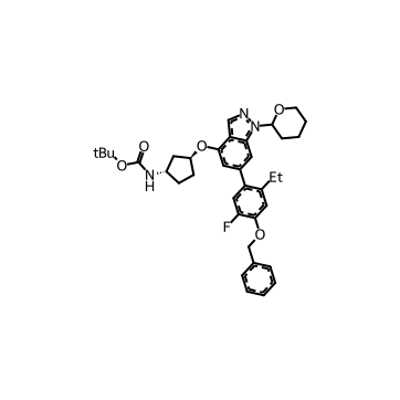 CCc1cc(OCc2ccccc2)c(F)cc1-c1cc(O[C@H]2CC[C@H](NC(=O)OC(C)(C)C)C2)c2cnn(C3CCCCO3)c2c1